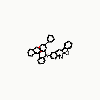 c1ccc(-c2cccc(N(c3ccc4nc5oc6ccccc6c5cc4c3)c3ccccc3-c3cccc4ccccc34)c2)cc1